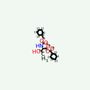 C[C@@H](O)[C@H](NC(=O)OCc1ccccc1)C(=O)OC(=O)c1ccccc1